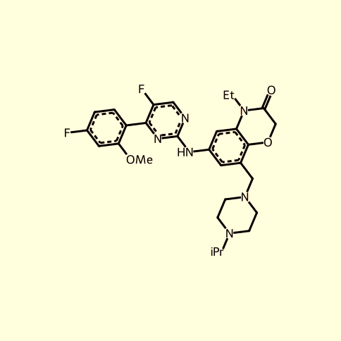 CCN1C(=O)COc2c(CN3CCN(C(C)C)CC3)cc(Nc3ncc(F)c(-c4ccc(F)cc4OC)n3)cc21